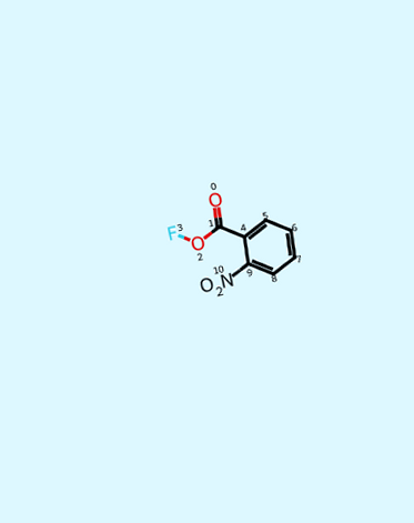 O=C(OF)c1ccccc1[N+](=O)[O-]